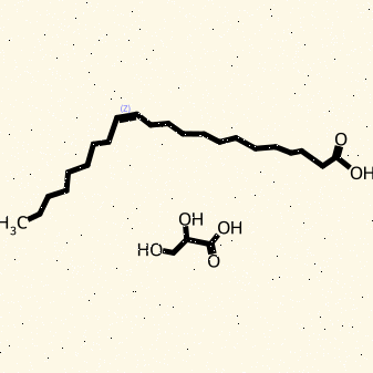 CCCCCCCC/C=C\CCCCCCCCCCCC(=O)O.O=C(O)C(O)CO